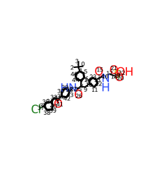 CC(C)(C)c1ccc(C(Cc2ccc(C(=O)NCCS(=O)(=O)O)cc2)C(=O)Nc2ccc(-c3cc4cc(Cl)ccc4o3)cc2)cc1